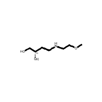 COCCNCC[C@H](O)CO